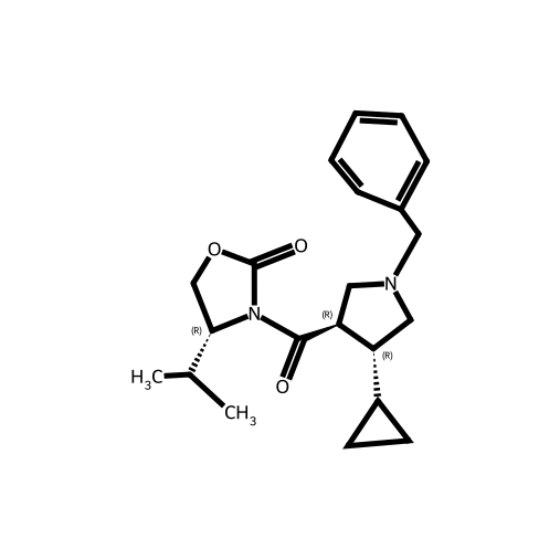 CC(C)[C@@H]1COC(=O)N1C(=O)[C@H]1CN(Cc2ccccc2)C[C@@H]1C1CC1